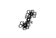 Clc1c(Cl)c(Cl)c(SNC2CCC(NSc3c(Cl)c(Cl)c(Cl)c(Cl)c3Cl)CC2)c(Cl)c1Cl